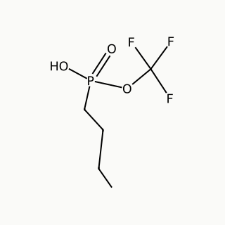 CCCCP(=O)(O)OC(F)(F)F